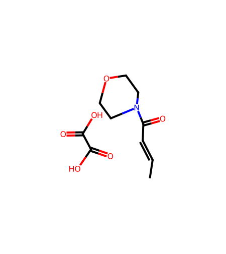 CC=CC(=O)N1CCOCC1.O=C(O)C(=O)O